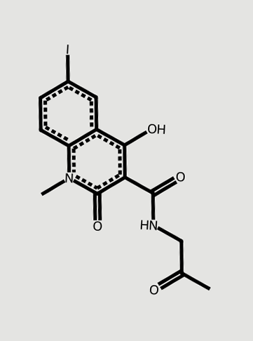 CC(=O)CNC(=O)c1c(O)c2cc(I)ccc2n(C)c1=O